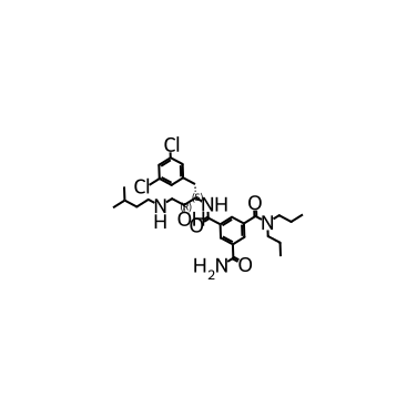 CCCN(CCC)C(=O)c1cc(C(N)=O)cc(C(=O)N[C@@H](Cc2cc(Cl)cc(Cl)c2)[C@H](O)CNCCC(C)C)c1